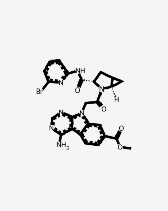 COC(=O)c1ccc2c3c(N)ncnc3n(CC(=O)N3[C@@H]4CC4C[C@H]3C(=O)Nc3cccc(Br)n3)c2c1